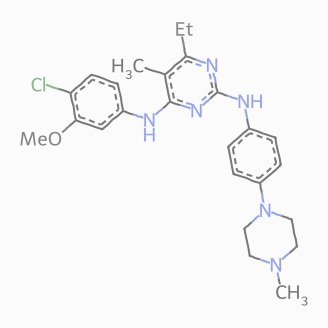 CCc1nc(Nc2ccc(N3CCN(C)CC3)cc2)nc(Nc2ccc(Cl)c(OC)c2)c1C